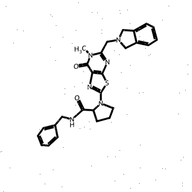 Cn1c(CN2Cc3ccccc3C2)nc2sc(N3CCCC3C(=O)NCc3ccccc3)nc2c1=O